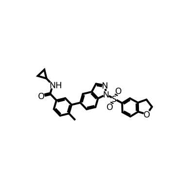 Cc1ccc(C(=O)NC2CC2)cc1-c1ccc2c(cnn2S(=O)(=O)c2ccc3c(c2)CCO3)c1